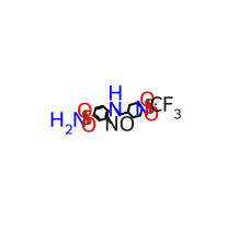 NS(=O)(=O)c1ccc(NCC2CCN(S(=O)(=O)C(F)(F)F)CC2)c(N=O)c1